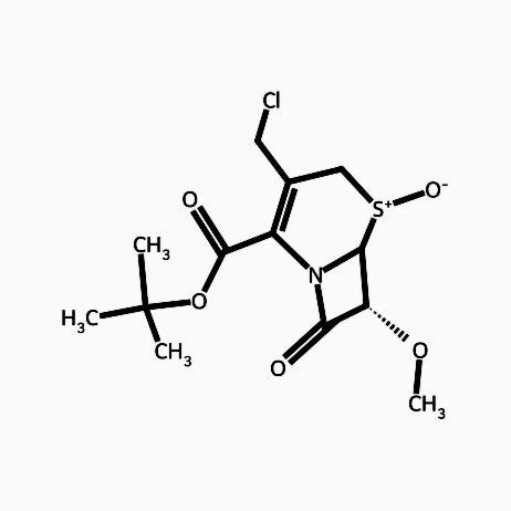 CO[C@@H]1C(=O)N2C(C(=O)OC(C)(C)C)=C(CCl)C[S+]([O-])C12